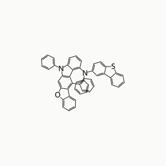 c1ccc(-c2c3c(cc4c2c2c(N(c5ccccc5)c5ccc6sc7ccccc7c6c5)cccc2n4-c2ccccc2)oc2ccccc23)cc1